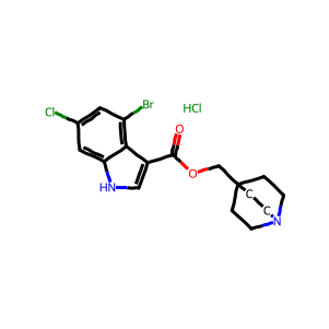 Cl.O=C(OCC12CCN(CC1)CC2)c1c[nH]c2cc(Cl)cc(Br)c12